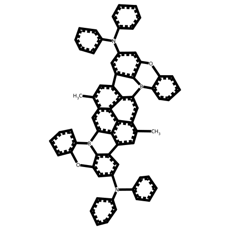 Cc1cc2c3c(cc4c(C)cc5c6c(cc1c3c46)B1c3ccccc3Oc3cc(N(c4ccccc4)c4ccccc4)cc-5c31)B1c3ccccc3Oc3cc(N(c4ccccc4)c4ccccc4)cc-2c31